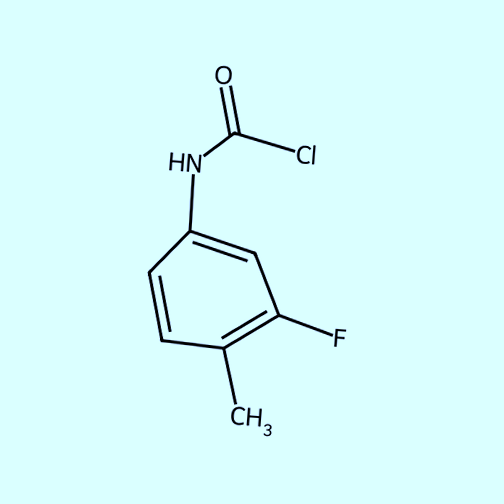 Cc1ccc(NC(=O)Cl)cc1F